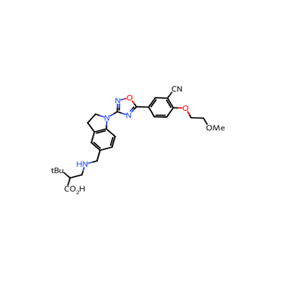 COCCOc1ccc(-c2nc(N3CCc4cc(CNCC(C(=O)O)C(C)(C)C)ccc43)no2)cc1C#N